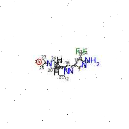 CC(C)n1nc(-c2cnc(N)c(C(F)F)c2)cc1[C@H]1[C@@H]2CN(C3COC3)C[C@@H]21